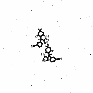 CC1(C)CC(=O)C2=C(C1)Nc1nn(CC3(C)CC(=O)C4=C(C3)Nc3n[nH]cc3C4(C)c3cccc(C#N)c3)cc1[C@]2(C)c1cccc(C#N)c1